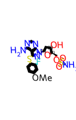 COc1ccc(Sc2nn([C@H]3C[C@H](O)[C@@H](COS(N)(=O)=O)O3)c3ncnc(N)c23)c(F)c1